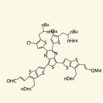 CCCCCCCCCCCc1c(/C=C/C=O)sc2cc(-c3sc(-c4cc5sc(/C=C/OC)c(CCCCCCCCCCC)c5s4)c4nc(-c5cc(Cl)c(CC(CCCC)CCCCCC)s5)c(-c5cc(Cl)c(CC(CCCC)CCCCCC)s5)nc34)sc12